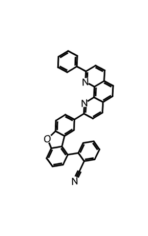 N#Cc1ccccc1-c1cccc2oc3ccc(-c4ccc5ccc6ccc(-c7ccccc7)nc6c5n4)cc3c12